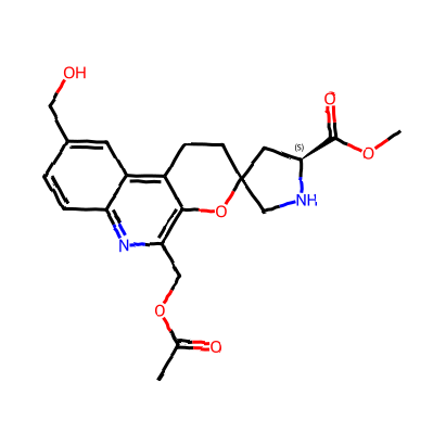 COC(=O)[C@@H]1CC2(CCc3c(c(COC(C)=O)nc4ccc(CO)cc34)O2)CN1